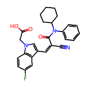 N#CC(=Cc1cn(CC(=O)O)c2ccc(F)cc12)C(=O)N(c1ccccc1)C1CCCCC1